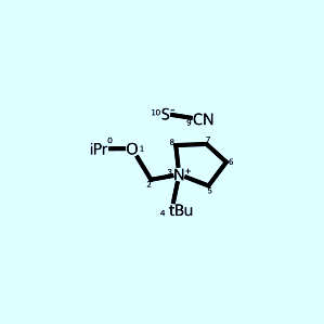 CC(C)OC[N+]1(C(C)(C)C)CCCC1.N#C[S-]